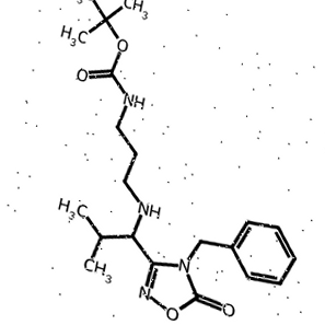 CC(C)C(NCCCNC(=O)OC(C)(C)C)c1noc(=O)n1Cc1ccccc1